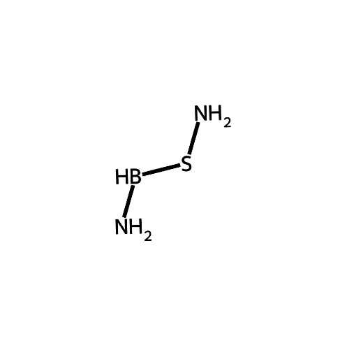 NBSN